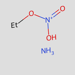 CCO[N+](=O)O.N